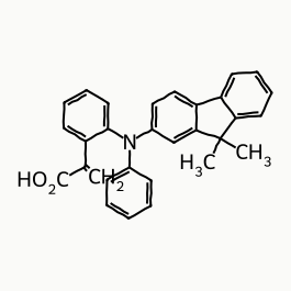 C=C(C(=O)O)c1ccccc1N(c1ccccc1)c1ccc2c(c1)C(C)(C)c1ccccc1-2